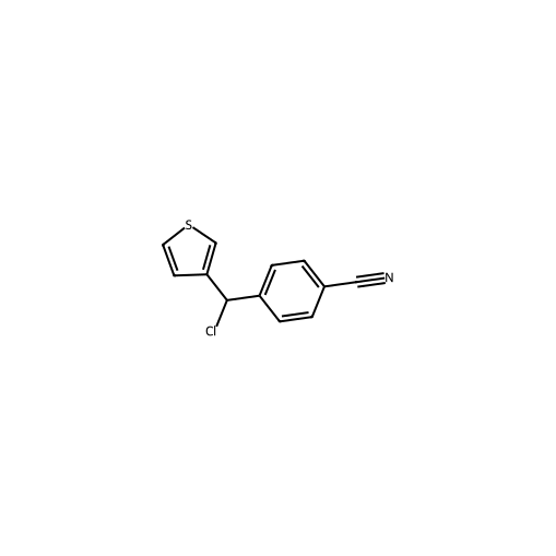 N#Cc1ccc(C(Cl)c2ccsc2)cc1